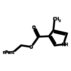 CCCCCCOC(=O)c1c[nH]cc1C